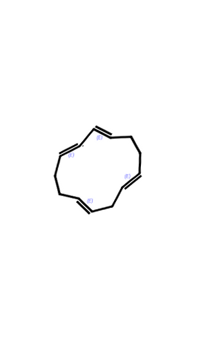 [C]1=C/CC/C=C/C/C=C/CC/C=C/1